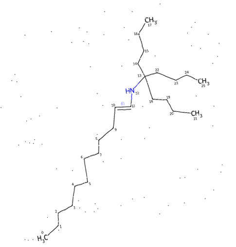 CCCCCCCCCC/C=C/NC(CCCC)(CCCC)CCCC